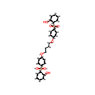 O=S(=O)(c1ccc(OCCCCOc2ccc(S(=O)(=O)c3ccccc3O)cc2)cc1)c1ccccc1O